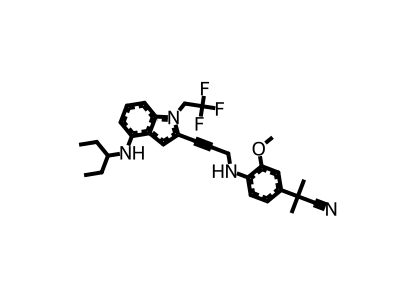 CCC(CC)Nc1cccc2c1cc(C#CCNc1ccc(C(C)(C)C#N)cc1OC)n2CC(F)(F)F